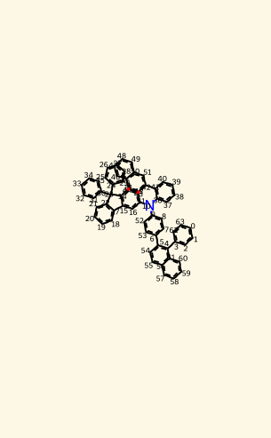 c1ccc(-c2c(-c3ccc(N(c4ccc5c(c4)-c4ccccc4C5(c4ccccc4)c4ccccc4)c4ccccc4-c4ccc5ccccc5c4)cc3)ccc3ccccc23)cc1